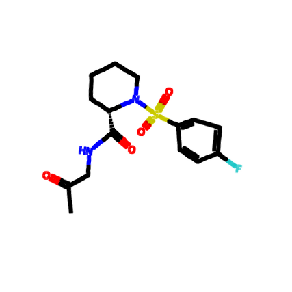 CC(=O)CNC(=O)[C@@H]1CCCCN1S(=O)(=O)c1ccc(F)cc1